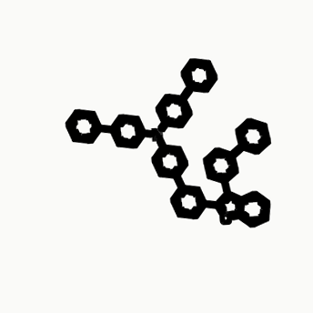 c1ccc(-c2ccc(N(c3ccc(-c4ccccc4)cc3)c3ccc(-c4cccc(-c5oc6ccccc6c5-c5cccc(-c6ccccc6)c5)c4)cc3)cc2)cc1